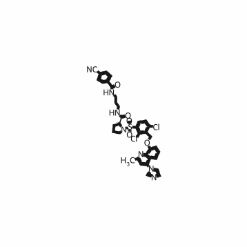 Cc1cc(-n2ccnc2)c2cccc(OCc3c(Cl)ccc(S(=O)(=O)N4CCC[C@H]4C(=O)NCCCNC(=O)c4ccc(C#N)cc4)c3Cl)c2n1